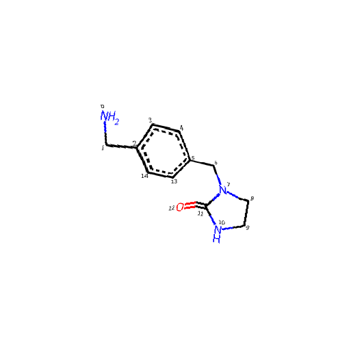 NCc1ccc(CN2CCNC2=O)cc1